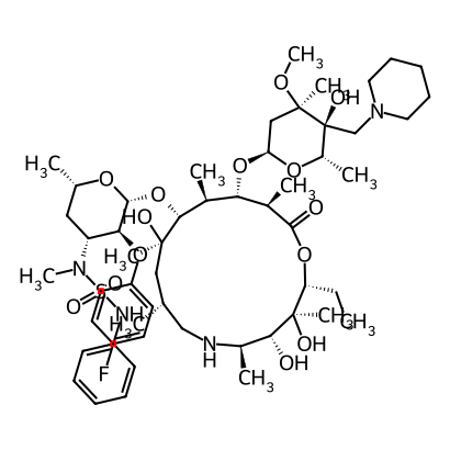 CC[C@H]1OC(=O)[C@H](C)[C@@H](O[C@H]2C[C@@](C)(OC)[C@](O)(CN3CCCCC3)[C@H](C)O2)[C@H](C)[C@@H](O[C@H]2O[C@@H](C)C[C@@H](N(C)S(=O)(=O)Nc3ccccc3)[C@@H]2Oc2ccc(F)cc2)[C@](C)(O)C[C@@H](C)CN[C@H](C)[C@@H](O)[C@]1(C)O